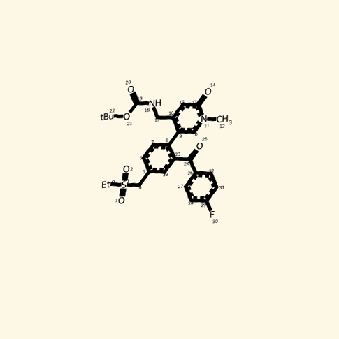 CCS(=O)(=O)Cc1ccc(-c2cn(C)c(=O)cc2CNC(=O)OC(C)(C)C)c(C(=O)c2ccc(F)cc2)c1